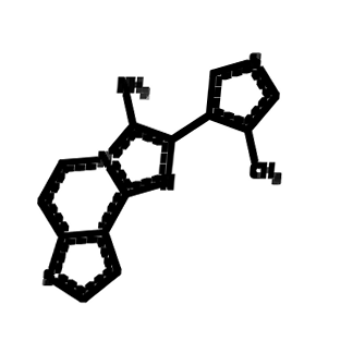 Cc1cscc1-c1nc2c3ccsc3ccn2c1N